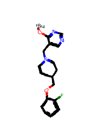 CC(C)(C)Oc1ncncc1CN1CCC(COc2ccccc2F)CC1